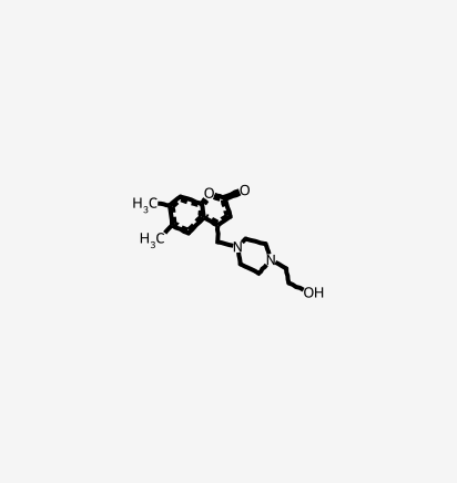 Cc1cc2oc(=O)cc(CN3CCN(CCO)CC3)c2cc1C